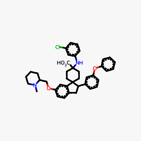 CN1CCCCC1COc1ccc2c(c1)C1(CCC(Nc3cccc(Cl)c3)(C(=O)O)CC1)C(c1cccc(Oc3ccccc3)c1)C2